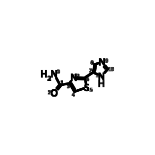 NC(=O)c1csc(-c2cnc[nH]2)n1